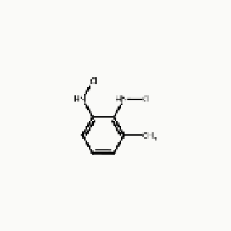 Cc1cccc(NCl)c1NCl